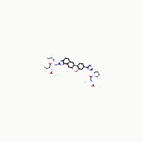 CC[C@H](COC)CN(Cc1nc2ccc3cc4c(cc3c2[nH]1)OCc1cc(-c2cnc([C@@H]3CC[C@H](CC)N3C(=O)[C@@H](NC(=O)OC)C(C)C)[nH]2)ccc1-4)C(=O)[C@@H](NC(=O)OC)[C@@H](C)OC